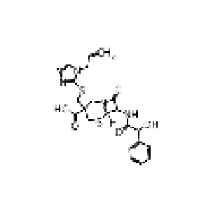 C=CCn1cnnc1SCC1(C(=O)O)CS[C@@H]2C(NC(=O)C(O)c3ccccc3)C(=O)N2C1